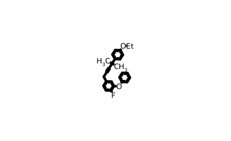 CCOc1ccc(C(C)(C)C#CCc2ccc(F)c(Oc3ccccc3)c2)cc1